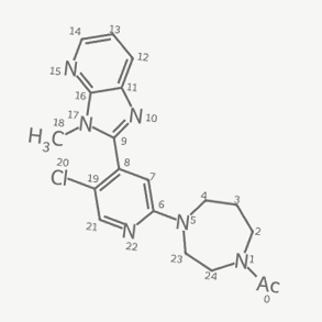 CC(=O)N1CCCN(c2cc(-c3nc4cccnc4n3C)c(Cl)cn2)CC1